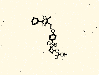 Cc1oc(-c2ccccc2)nc1CCOc1ccc(S(=O)(=O)N2CC[C@H]2OC(=O)O)cc1